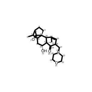 CC1C2CC[C@]3(C2=O)C1C[C@@H](O)[C@]12CC(=CC(CN4CCOCC4)C1=O)C32